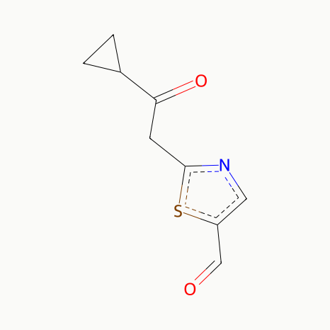 O=Cc1cnc(CC(=O)C2CC2)s1